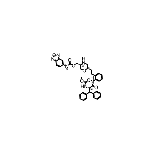 COC(=O)N[C@H](C(=O)Nc1ccccc1CC[C@@H]1CN[C@H](COC(=O)N(C)c2ccc3nonc3c2)CO1)C(c1ccccc1)c1ccccc1